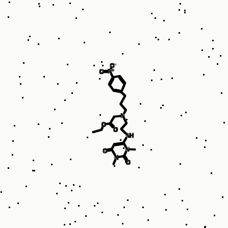 CCOC(=O)CN(CCCc1ccc([N+](=O)[O-])cc1)CCNc1cc(=O)n(C)c(=O)n1C